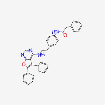 O=C(Cc1ccccc1)Nc1ccc(CCNc2ncnc3oc(-c4ccccc4)c(-c4ccccc4)c23)cc1